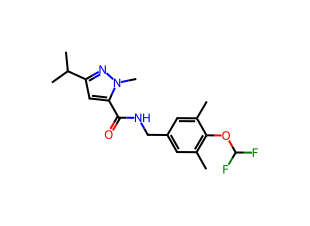 Cc1cc(CNC(=O)c2cc(C(C)C)nn2C)cc(C)c1OC(F)F